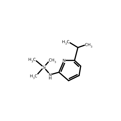 CC(C)c1cccc(N[Si](C)(C)C)n1